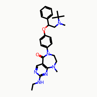 CCNc1ncc2c(n1)N(C)CCN(c1ccc(OC(CN(C)C(C)(C)C)c3ccccc3)cc1)C2=O